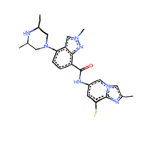 Cc1cn2cc(NC(=O)c3ccc(N4CC(C)NC(C)C4)c4cn(C)nc34)cc(F)c2n1